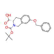 CC(C)(C)OC(=O)N1Cc2cc(OCc3ccccc3)ccc2C[C@H]1C(=O)O